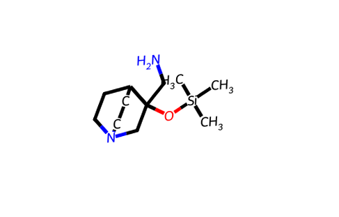 C[Si](C)(C)OC1(CN)CN2CCC1CC2